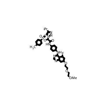 COCCOCCOc1cc(F)c2c(Nc3ccc(NC(=O)C(OS(=O)(=O)c4ccc(C)cc4)n4cc(C(C)C)nn4)cc3)ncnc2c1